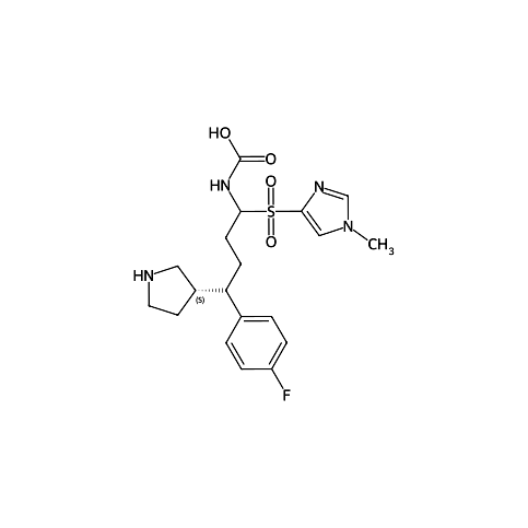 Cn1cnc(S(=O)(=O)C(CCC(c2ccc(F)cc2)[C@@H]2CCNC2)NC(=O)O)c1